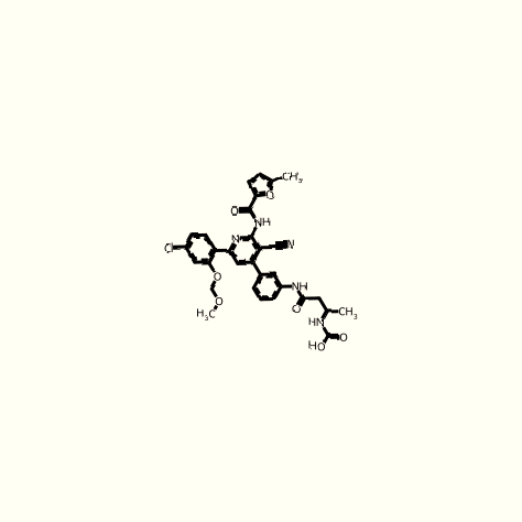 COCOc1cc(Cl)ccc1-c1cc(-c2cccc(NC(=O)CC(C)NC(=O)O)c2)c(C#N)c(NC(=O)c2ccc(C)o2)n1